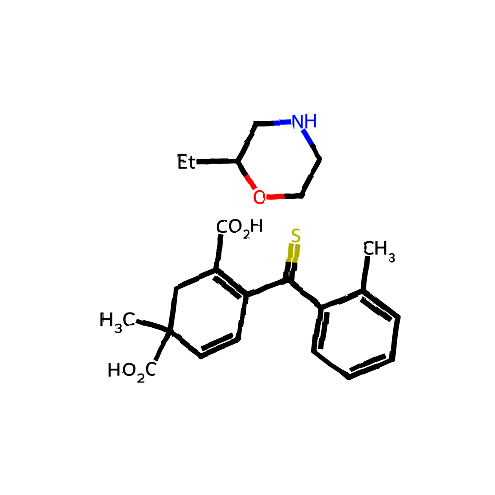 CCC1CNCCO1.Cc1ccccc1C(=S)C1=C(C(=O)O)CC(C)(C(=O)O)C=C1